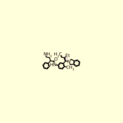 C=C/C(CC)=C(\c1cc(NC(=O)C(CCN)c2ccccc2)ccc1C)N1Cc2ccccc2C1